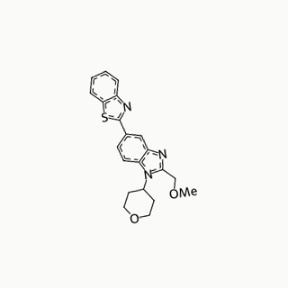 COCc1nc2cc(-c3nc4ccccc4s3)ccc2n1C1CCOCC1